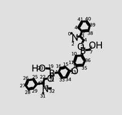 CN(C)C(COB(CO)c1ccc(Oc2ccc(B(CO)OCC(c3ccccc3)N(C)C)cc2)cc1)c1ccccc1